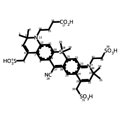 CC1(C)C=C(CS(=O)(=O)O)c2cc3c(cc2N1CCCC(=O)O)[Si](C)(C)c1cc2c(cc1=C3C#N)C(CS(=O)(=O)O)=CC(C)(C)[N+]=2CCS(=O)(=O)O